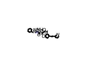 CN1C(=O)[C@@H](N(C)C(=O)/C(N)=C/N(N)Cc2ccccc2)COc2ccc(C#Cc3cccnc3)cc21